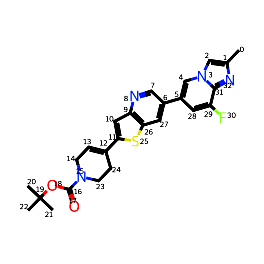 Cc1cn2cc(-c3cnc4cc(C5=CCN(C(=O)OC(C)(C)C)CC5)sc4c3)cc(F)c2n1